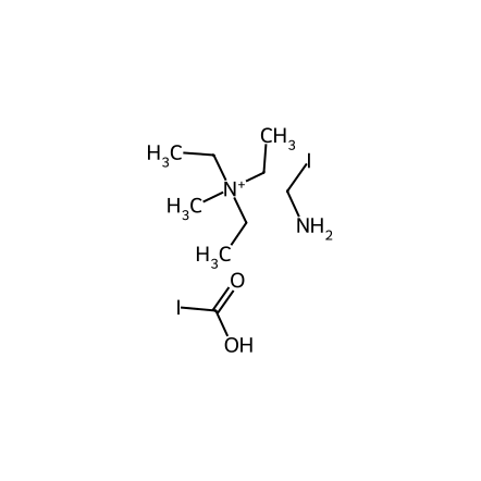 CC[N+](C)(CC)CC.NCI.O=C(O)I